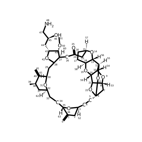 C=C1C[C@@H]2CC[C@@]34C[C@H]5O[C@H]6[C@@H](O3)[C@H]3O[C@H](CC[C@@H]3O[C@H]6C5O4)CC(=O)C[C@H]3C(C[C@H]4O[C@@H](CC[C@@H]1O2)C[C@@H](C)C4=C)O[C@H](C[C@H](O)CN)[C@@H]3OC